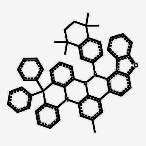 Cc1cc2c3c(c1)N1c4ccccc4C(c4ccccc4)(c4ccccc4)c4cccc(c41)B3N(c1ccc3c(c1)C(C)(C)CCC3(C)C)c1c-2ccc2oc3ccccc3c12